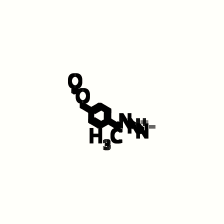 CC(N=[N+]=[N-])c1ccc(COC=O)cc1